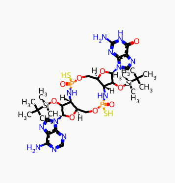 CC(C)(C)[Si](C)(C)OC1[C@H](n2cnc3c(N)ncnc32)O[C@@H]2COP(=O)(S)N[C@H]3C(O[Si](C)(C)C(C)(C)C)[C@H](n4cnc5c(=O)[nH]c(N)nc54)O[C@@H]3COP(=O)(S)N[C@@H]12